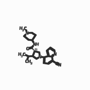 CC(C)C1CN(c2ccc(C#N)c3ncccc23)C[C@H]1C(=O)NC1CCN(C)CC1